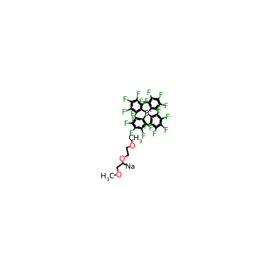 COCCO[CH]([Na])COC.Fc1c(F)c(F)c([B-](c2c(F)c(F)c(F)c(F)c2F)(c2c(F)c(F)c(F)c(F)c2F)c2c(F)c(F)c(F)c(F)c2F)c(F)c1F